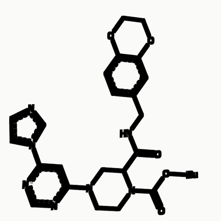 CCC(C)OC(=O)N1CCN(c2cc(-n3ccnc3)ncn2)CC1C(=O)NCc1ccc2c(c1)OCCO2